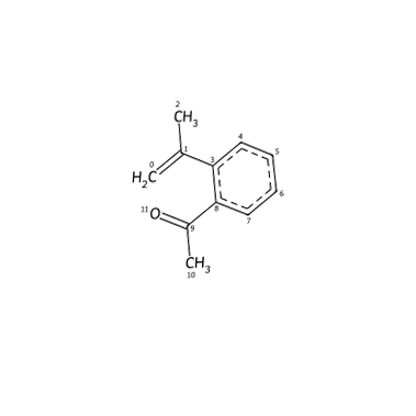 C=C(C)c1ccccc1C(C)=O